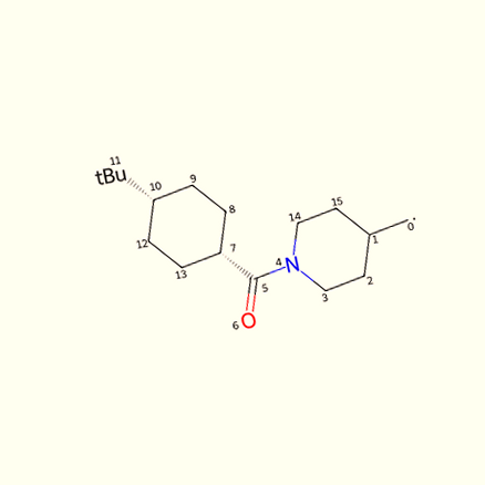 [CH2]C1CCN(C(=O)[C@H]2CC[C@@H](C(C)(C)C)CC2)CC1